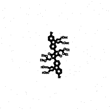 CCCCCCCCCCCCC1(CCCCCCCCCCCC)c2cc(Br)ccc2-c2ccc(C3=C4C(=O)N(CC(OCC)OCC)C(c5ccc6c(c5)C(CCCCCCCCCCCC)(CCCCCCCCCCCC)c5cc(Br)ccc5-6)=C4C(=O)N3CC(OCC)OCC)cc21